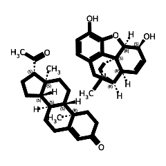 CC(=O)[C@H]1CC[C@H]2[C@@H]3CCC4=CC(=O)CC[C@]4(C)[C@H]3CC[C@]12C.CN1CC[C@]23c4c5ccc(O)c4O[C@H]2[C@@H](O)C=C[C@H]3[C@H]1C5